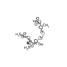 Cc1cc(N2CCC(CN3CCC(c4ccc(Nc5nc(N6CCC[C@@H](N7CCN(C)C7=O)C6)nnc5C(N)=O)cc4CO)CC3)CC2)ccc1N1CCC(=O)NC1=O